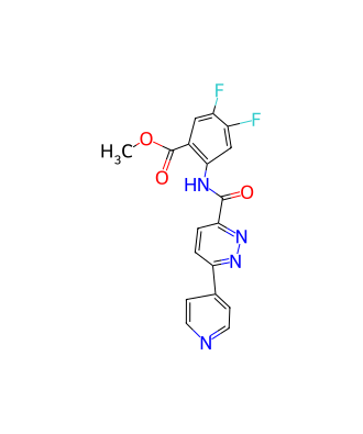 COC(=O)c1cc(F)c(F)cc1NC(=O)c1ccc(-c2ccncc2)nn1